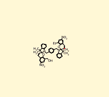 CCc1cc([N+](=O)[O-])cc2c1OC1(C=C2)N(Cc2ccc(CN3c4ccccc4C(C)(C)C34C=Cc3cc([N+](=O)[O-])cc(CO)c3O4)cc2)c2ccccc2C1(C)C